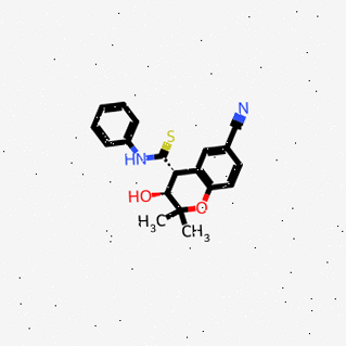 CC1(C)Oc2ccc(C#N)cc2[C@@H](C(=S)Nc2ccccc2)[C@@H]1O